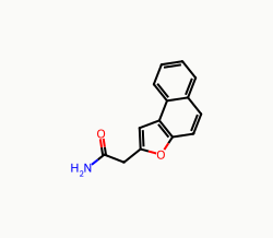 NC(=O)Cc1cc2c(ccc3ccccc32)o1